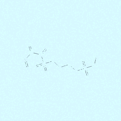 B=NS(=S)S(=S)S(=S)(=S)SSSSS(=S)(=S)OI